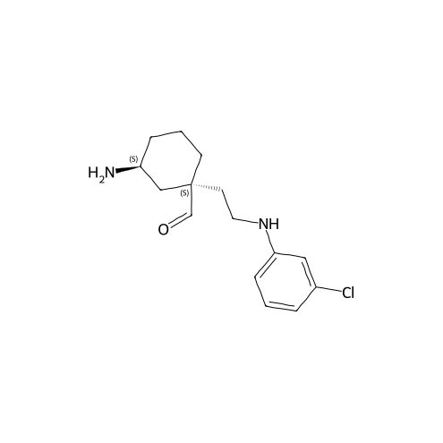 N[C@H]1CCC[C@](C=O)(CCNc2cccc(Cl)c2)C1